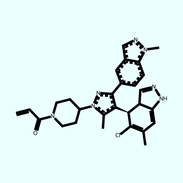 C=CC(=O)N1CCC(n2nc(-c3ccc4c(cnn4C)c3)c([C@@H]3C(Cl)=C(C)C=C4NN=CC43)c2C)CC1